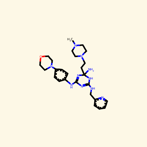 CN1CCN(CCC2(N)N=C(Nc3ccc(N4CCOCC4)cc3)N=C(NCc3ccccn3)N2)CC1